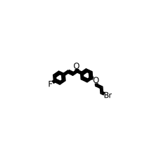 O=C(C=Cc1ccc(F)cc1)c1ccc(OCCCBr)cc1